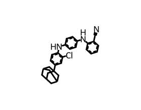 N#Cc1ccccc1Nc1ccc(Nc2ccc(C34CC5CC(CC(C5)C3)C4)cc2Cl)cc1